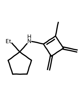 C=C1C(=C)C(NC2(CC)CCCC2)=C1C